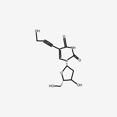 O=c1[nH]c(=O)n([C@@H]2CC(O)[C@H](CO)O2)cc1C#CCO